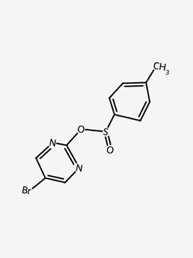 Cc1ccc(S(=O)Oc2ncc(Br)cn2)cc1